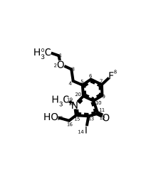 CCOCCc1cc(F)cc2c(=O)c(I)c(CO)n(C)c12